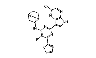 Fc1c(NC2CC3CCC2CC3)nc(-c2c[nH]c3ncc(Cl)nc23)nc1-c1nccs1